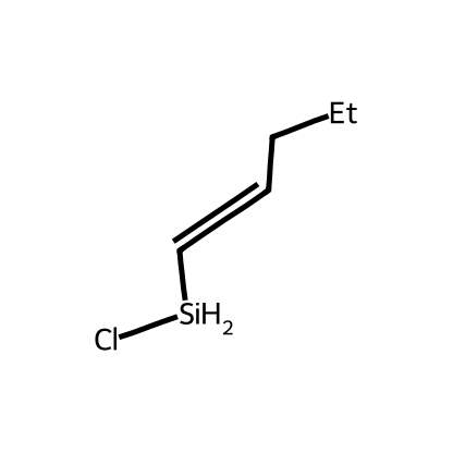 CCC/C=C/[SiH2]Cl